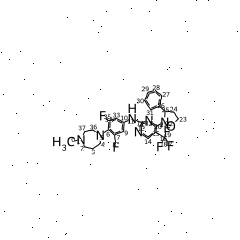 CN1CCCN(c2c(F)cc(Nc3ncc(C(F)(F)F)c(N4OCCC4c4ccccc4)n3)cc2F)CC1